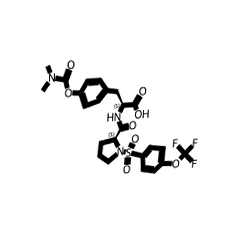 CN(C)C(=O)Oc1ccc(C[C@H](NC(=O)[C@@H]2CCCN2S(=O)(=O)c2ccc(OC(F)(F)F)cc2)C(=O)O)cc1